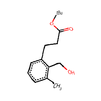 Cc1cccc(CCC(=O)OC(C)(C)C)c1CO